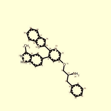 Cc1n[nH]c2ccc(-c3cc(OC[C@@H](N)Cc4ccccc4)cnc3-c3cc4ccccc4s3)cc12